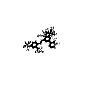 [2H]C([2H])([2H])C(c1cc(-c2ccc[nH]c2=O)cc(/C=C/c2ccc(NS(C)(=O)=O)cc2C(=O)OC)c1OC)(C([2H])([2H])[2H])C([2H])([2H])[2H]